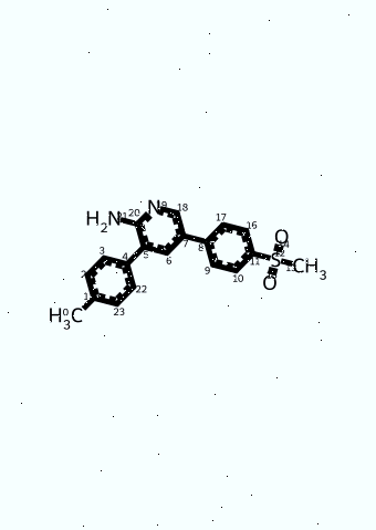 Cc1ccc(-c2cc(-c3ccc(S(C)(=O)=O)cc3)cnc2N)cc1